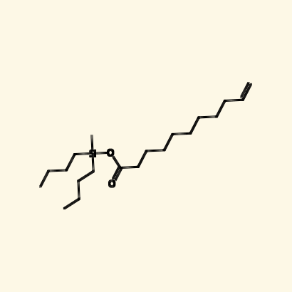 C=CCCCCCCCCC(=O)O[Si](C)(CCCC)CCCC